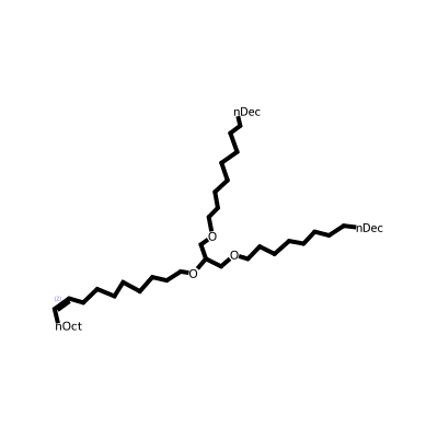 CCCCCCCC/C=C\CCCCCCCCOC(COCCCCCCCCCCCCCCCCCC)COCCCCCCCCCCCCCCCCCC